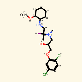 CN(CC(O)COc1cc(Cl)ccc1Cl)C(C)(I)CNC1CCCCC1O[N+](=O)[O-]